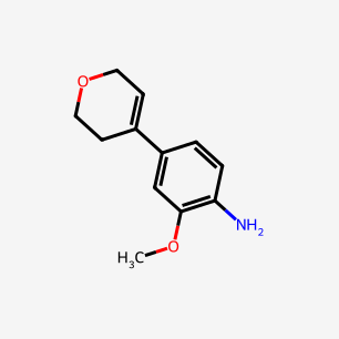 COc1cc(C2=CCOCC2)ccc1N